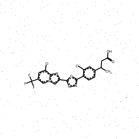 CC(CC(=O)O)c1ccc(-c2nnc(-c3cn4cc(C(F)(F)F)cc(Cl)c4n3)o2)c(Cl)c1